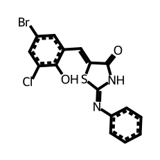 O=C1N/C(=N\c2ccccc2)S/C1=C\c1cc(Br)cc(Cl)c1O